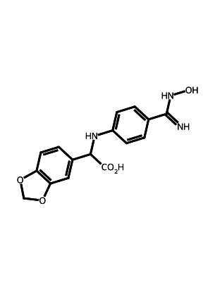 N=C(NO)c1ccc(NC(C(=O)O)c2ccc3c(c2)OCO3)cc1